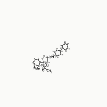 COc1cccc(C2(NS(C)(=O)=O)CCC(NCc3ccc(-c4ccccc4)cc3)CC2)c1